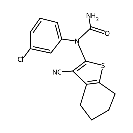 N#Cc1c(N(C(N)=O)c2cccc(Cl)c2)sc2c1CCCC2